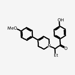 CCC(C(=O)c1ccc(O)cc1)N1CC=C(c2ccc(OC)cc2)CC1